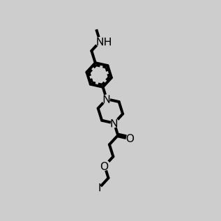 CNCc1ccc(N2CCN(C(=O)CCOCI)CC2)cc1